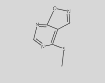 CSc1ncnc2oncc12